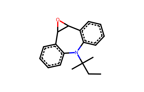 CCC(C)(C)N1c2ccccc2C2OC2c2ccccc21